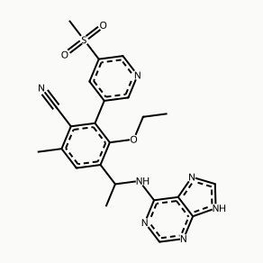 CCOc1c(C(C)Nc2ncnc3[nH]cnc23)cc(C)c(C#N)c1-c1cncc(S(C)(=O)=O)c1